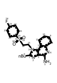 CCCCc1nc2c(N)nc3ccccc3c2n1CCS(=O)(=O)c1ccc(F)cc1